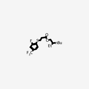 CCCCC(CC)COC(=O)CCSc1ccc(C(F)(F)F)cc1F